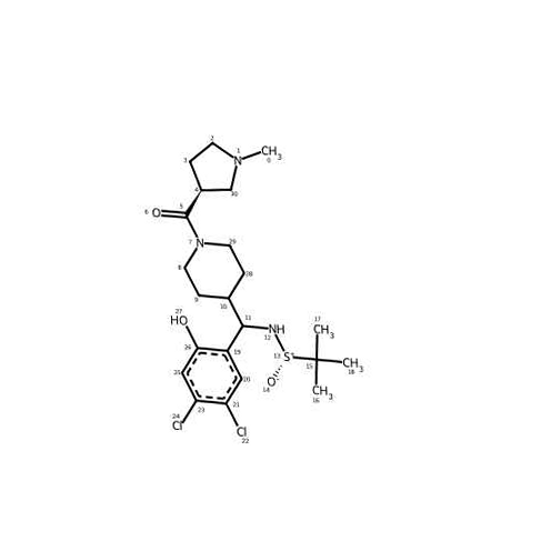 CN1CC[C@H](C(=O)N2CCC(C(N[S@@+]([O-])C(C)(C)C)c3cc(Cl)c(Cl)cc3O)CC2)C1